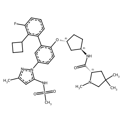 Cc1cc(NS(C)(=O)=O)n(-c2ccc(O[C@@H]3CC[C@@H](NC(=O)[C@@H]4CC(C)(C)CN4C)C3)c(-c3cccc(F)c3C3CCC3)c2)n1